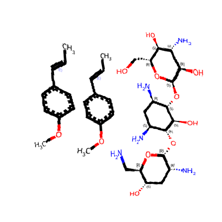 C/C=C/c1ccc(OC)cc1.C/C=C/c1ccc(OC)cc1.NC[C@H]1O[C@H](O[C@H]2[C@H](O)[C@@H](O[C@H]3O[C@H](CO)[C@@H](O)[C@H](N)[C@H]3O)[C@H](N)C[C@@H]2N)[C@H](N)C[C@@H]1O